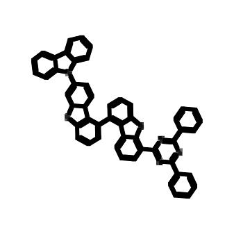 C1=CC2c3c(cccc3-c3cccc4sc5c(-c6nc(-c7ccccc7)nc(-c7ccccc7)n6)cccc5c34)SC2C=C1n1c2ccccc2c2ccccc21